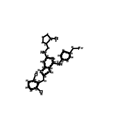 CCN1CCCC1CNc1nc(Nc2ccc(CF)cc2)c2nc(Cc3c(Cl)cccc3Cl)sc2n1